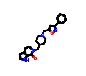 O=c1c2[nH]ccc2ccn1CC1CCN(Cc2cc(-c3ccccc3)no2)CC1